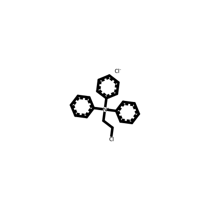 ClCC[N+](c1ccccc1)(c1ccccc1)c1ccccc1.[Cl-]